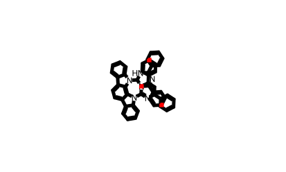 c1ccc(C2=NC(n3c4ccccc4c4ccc5c6ccccc6n(-c6nc(-c7ccccc7)cc(-c7ccccc7)n6)c5c43)NC(c3ccccc3)=N2)cc1